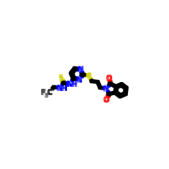 O=C1c2ccccc2C(=O)N1CCCSc1nccc(NC(=S)NCC(F)(F)F)n1